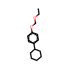 CCOCOc1ccc(C2CCCCC2)cc1